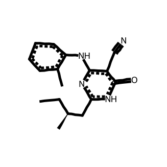 CC[C@H](C)Cc1nc(Nc2ccccc2C)c(C#N)c(=O)[nH]1